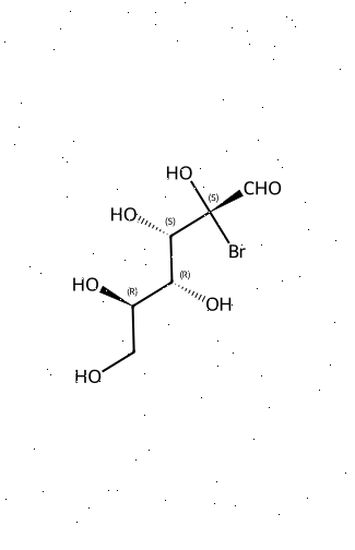 O=C[C@@](O)(Br)[C@@H](O)[C@H](O)[C@H](O)CO